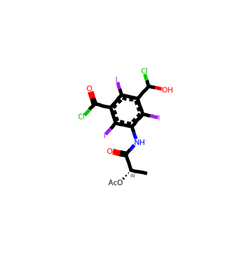 CC(=O)O[C@@H](C)C(=O)Nc1c(I)c(C(=O)Cl)c(I)c(C(O)Cl)c1I